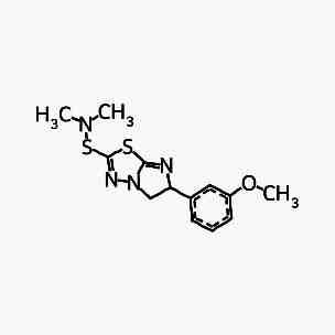 COc1cccc(C2CN3N=C(SN(C)C)SC3=N2)c1